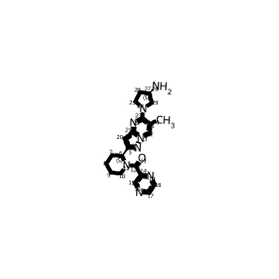 Cc1cn2nc([C@@H]3CCCCN3C(=O)c3cnccn3)cc2nc1N1CC[C@H](N)C1